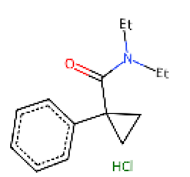 CCN(CC)C(=O)C1(c2ccccc2)CC1.Cl